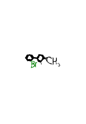 Cc1[c]cc(-c2ccccc2Br)cc1